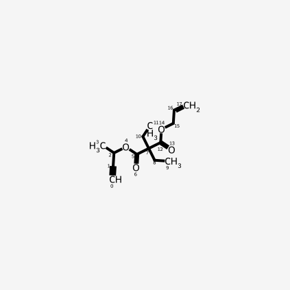 C#CC(C)OC(=O)C(CC)(CC)C(=O)OCC=C